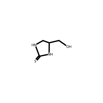 OCC1CNC(=S)N1